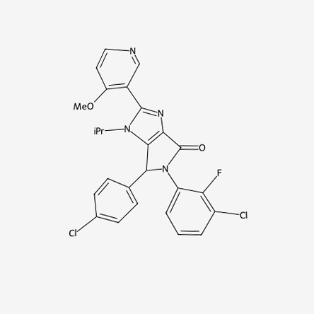 COc1ccncc1-c1nc2c(n1C(C)C)C(c1ccc(Cl)cc1)N(c1cccc(Cl)c1F)C2=O